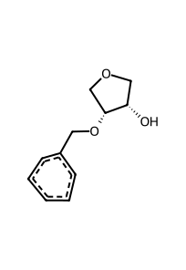 O[C@H]1COC[C@H]1OCc1ccccc1